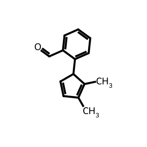 CC1=C(C)C(c2ccccc2C=O)C=C1